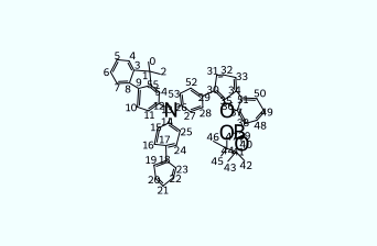 CC1(C)c2ccccc2-c2ccc(N(c3ccc(-c4ccccc4)cc3)c3ccc(-c4cccc5c4oc4c(B6OC(C)(C)C(C)(C)O6)cccc45)cc3)cc21